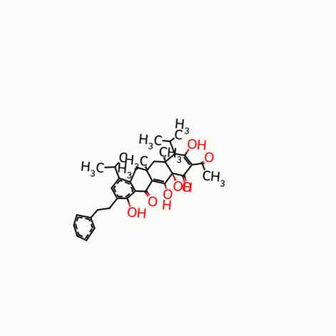 CC(=O)C1=C(O)C(C(C)C)[C@@]2(C)C[C@@]3(C)Cc4c(C(C)C)cc(CCc5ccccc5)c(O)c4C(=O)C3=C(O)[C@@]2(O)C1=O